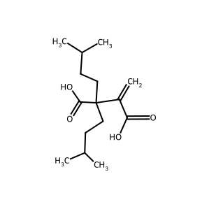 C=C(C(=O)O)C(CCC(C)C)(CCC(C)C)C(=O)O